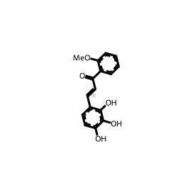 COc1ccccc1C(=O)/C=C/c1ccc(O)c(O)c1O